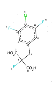 O=C(O)C(F)(Cc1cc(F)c(Cl)c(F)c1)C(=O)O